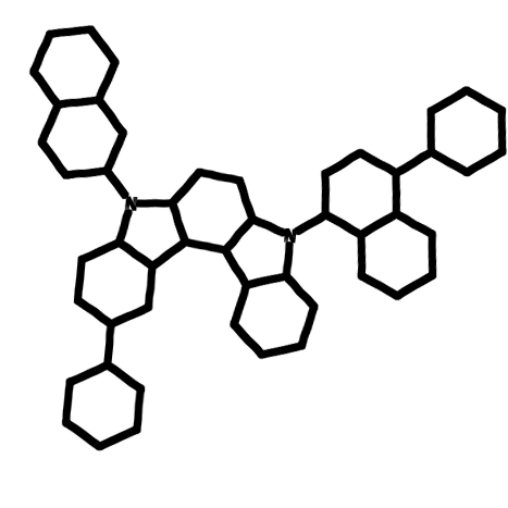 C1CCC(C2CCC3C(C2)C2C4C5CCCCC5N(C5CCC(C6CCCCC6)C6CCCCC65)C4CCC2N3C2CCC3CCCCC3C2)CC1